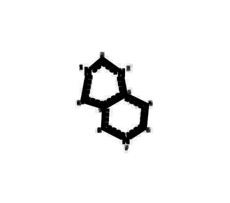 [c]1ncnc2ccncc12